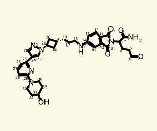 NC(=O)C(CCC=O)N1C(=O)c2ccc(NCCC[C@H]3C[C@H](n4cc(-c5cccc(N6CCC(O)CC6)n5)cn4)C3)cc2C1=O